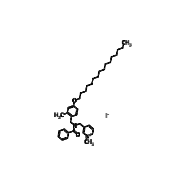 CCCCCCCCCCCCCCCCOc1ccc(CN(Cc2ccc[n+](C)c2)C(=O)c2ccccc2)c(C)c1.[I-]